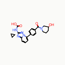 C1CC1.O=C(O)Nc1nc2cccc(-c3ccc(C(=O)N4CCCC(O)C4)cc3)n2n1